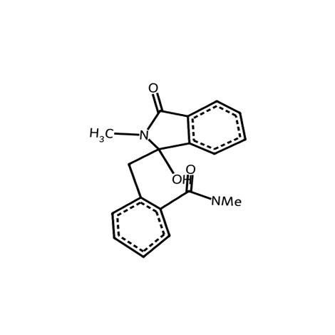 CNC(=O)c1ccccc1CC1(O)c2ccccc2C(=O)N1C